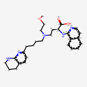 COCCN(CCCCc1ccc2c(n1)NCCC2)CC[C@H](Nc1nccc2ccccc12)C(=O)O